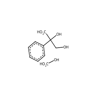 O=C(O)C(O)(CO)c1ccccc1.O=C(O)O